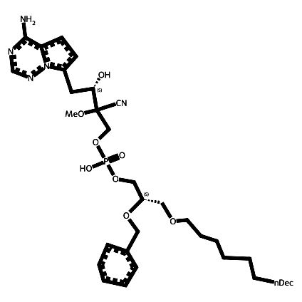 CCCCCCCCCCCCCCCCOC[C@@H](COP(=O)(O)OCC(C#N)(OC)[C@@H](O)Cc1ccc2c(N)ncnn12)OCc1ccccc1